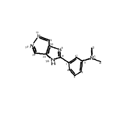 CN(C)c1cccc(-c2nc3cnncc3[nH]2)c1